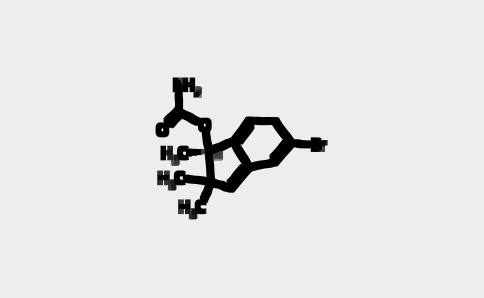 CC1(C)C=C2C=C(Br)CC=C2[C@]1(C)OC(N)=O